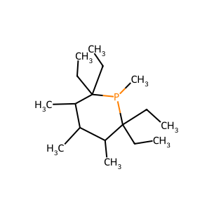 CCC1(CC)C(C)C(C)C(C)C(CC)(CC)P1C